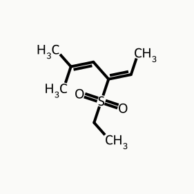 C/C=C(\C=C(C)C)S(=O)(=O)CC